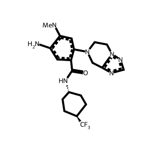 CNc1cc(N2CCn3ncnc3C2)c(C(=O)N[C@H]2CC[C@H](C(F)(F)F)CC2)cc1N